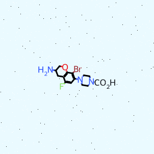 NC1COc2c(Br)c(N3CCN(C(=O)O)CC3)cc(F)c2C1